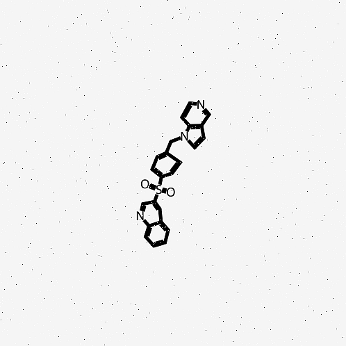 O=S(=O)(c1ccc(Cn2ccc3cnccc32)cc1)c1cnc2ccccc2c1